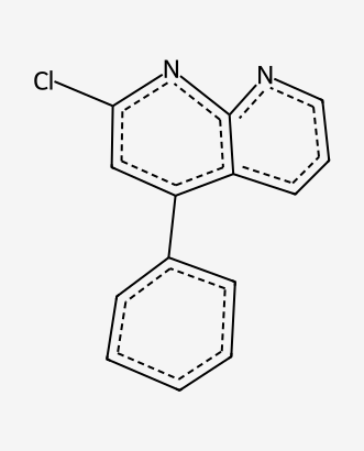 Clc1cc(-c2ccccc2)c2cccnc2n1